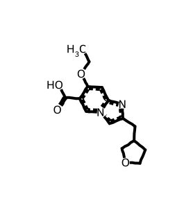 CCOc1cc2nc(CC3CCOC3)cn2cc1C(=O)O